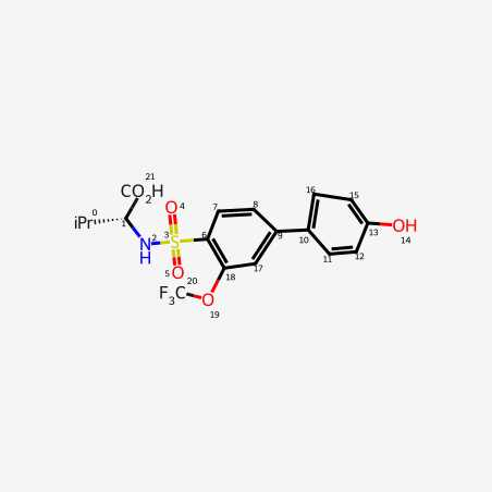 CC(C)[C@@H](NS(=O)(=O)c1ccc(-c2ccc(O)cc2)cc1OC(F)(F)F)C(=O)O